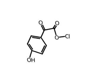 O=C(OCl)C(=O)c1ccc(O)cc1